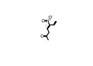 C=C/C(=C\CC(C)=O)[N+](=O)[O-]